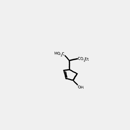 CCOC(=O)C(C(=O)O)C1C=CC(O)C1